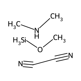 CNC.CO[SiH3].N#CC#N